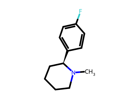 CN1CCCC[C@H]1c1ccc(F)cc1